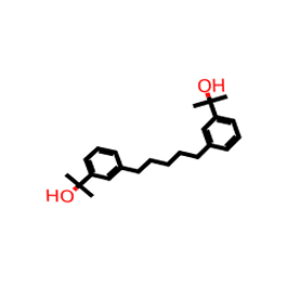 CC(C)(O)c1cccc(CCCCCc2cccc(C(C)(C)O)c2)c1